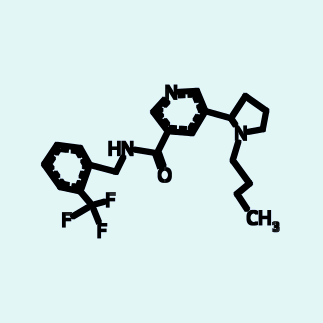 CCCCN1CCCC1c1cncc(C(=O)NCc2ccccc2C(F)(F)F)c1